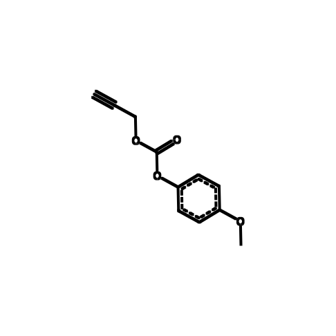 C#CCOC(=O)Oc1ccc(OC)cc1